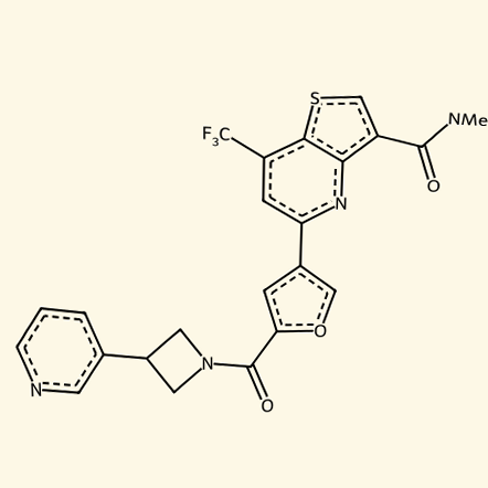 CNC(=O)c1csc2c(C(F)(F)F)cc(-c3coc(C(=O)N4CC(c5cccnc5)C4)c3)nc12